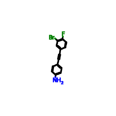 Nc1ccc(C#Cc2ccc(F)c(Br)c2)cc1